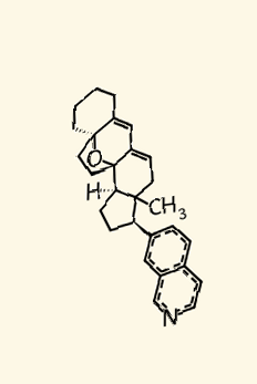 CC12CC=C3C=C4CCCC[C@]45CC[C@]3(O5)[C@@H]1CC[C@@H]2c1ccc2ccncc2c1